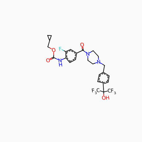 O=C(Nc1ccc(C(=O)N2CCN(Cc3ccc(C(O)(C(F)(F)F)C(F)(F)F)cc3)CC2)cc1F)OCC1CC1